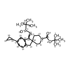 CC(C)(C)OC(=O)N1CCC2(CC1)Cc1ccc(C3CC3)cc1C2=N[S@+]([O-])C(C)(C)C